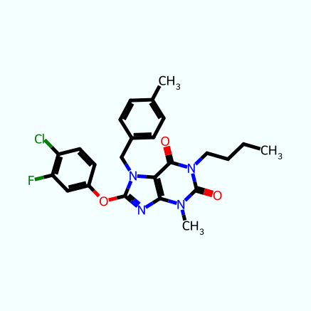 CCCCn1c(=O)c2c(nc(Oc3ccc(Cl)c(F)c3)n2Cc2ccc(C)cc2)n(C)c1=O